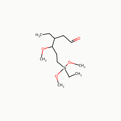 CCC(CC=O)C(CC[Si](CC)(OC)OC)OC